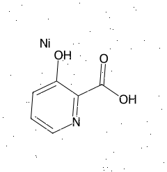 O=C(O)c1ncccc1O.[Ni]